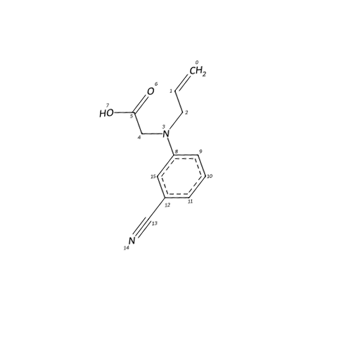 C=CCN(CC(=O)O)c1cccc(C#N)c1